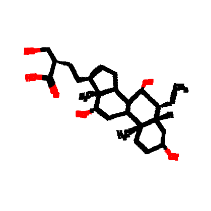 CC[C@H]1[C@@H](O)C2C3CC[C@H](CC[C@@H](CO)C(=O)O)[C@@]3(C)[C@@H](O)CC2[C@@]2(C)CC[C@@H](O)C[C@@H]12